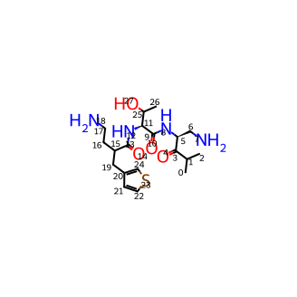 CC(C)C(=O)[C@H](CN)NC(=O)[C@@H](NC(=O)C(CCN)Cc1ccsc1)C(C)O